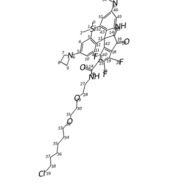 C[Si]1(C)c2cc(N3CCC3)ccc2C2(C(=N)C(=O)c3c(F)c(F)c(C(=O)NCCOCCOCCCCCCCl)c(F)c32)c2ccc(N3CCC3)cc21